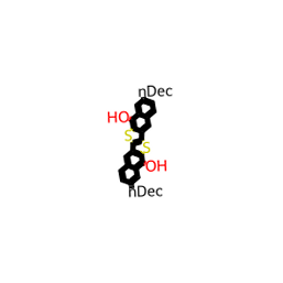 CCCCCCCCCCc1ccc2cc3c(sc4c5cc6ccc(CCCCCCCCCC)cc6c(O)c5sc34)c(O)c2c1